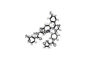 C/N=C(\C=C/c1nc(NC(=O)c2ccnc(F)c2)c[nH]1)c1c(-c2ccc(F)cc2)ncn1C1CCN(C(=O)c2ccon2)CC1